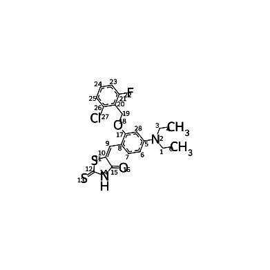 CCN(CC)c1ccc(/C=C2/SC(=S)NC2=O)c(OCc2c(F)cccc2Cl)c1